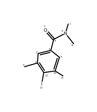 Cc1cc(C(=O)N(C)C)cc(C)c1I